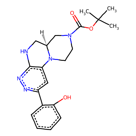 CC(C)(C)OC(=O)N1CCN2c3cc(-c4ccccc4O)nnc3NC[C@H]2C1